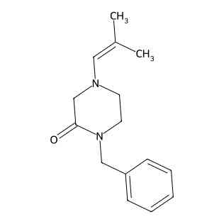 CC(C)=CN1CCN(Cc2ccccc2)C(=O)C1